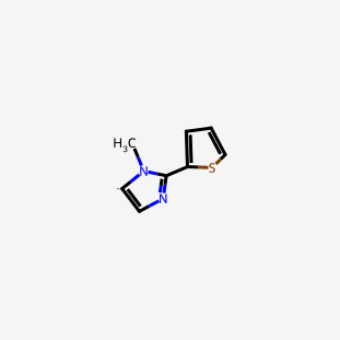 Cn1[c]cnc1-c1cccs1